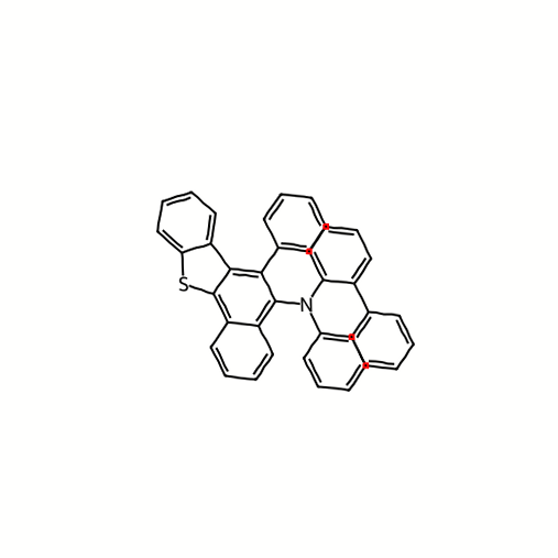 c1ccc(-c2ccccc2N(c2ccccc2)c2c(-c3ccccc3)c3c4ccccc4sc3c3ccccc23)cc1